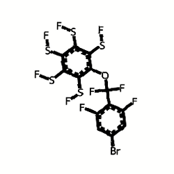 FSc1c(OC(F)(F)c2c(F)cc(Br)cc2F)c(SF)c(SF)c(SF)c1SF